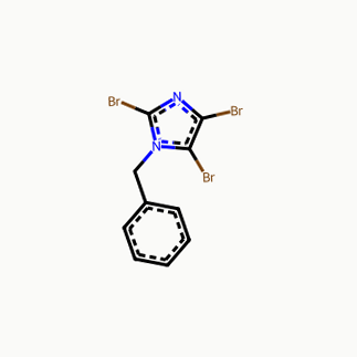 Brc1nc(Br)n(Cc2ccccc2)c1Br